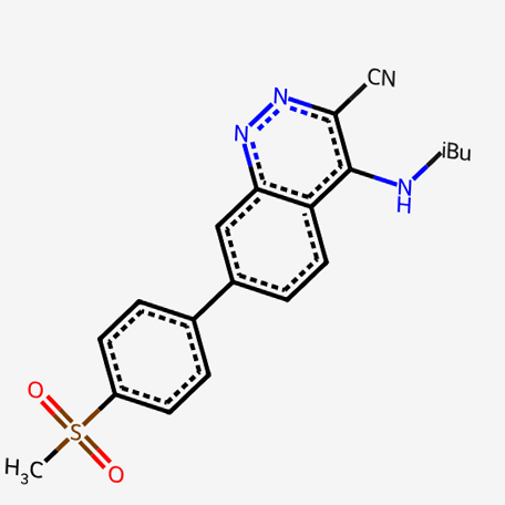 CCC(C)Nc1c(C#N)nnc2cc(-c3ccc(S(C)(=O)=O)cc3)ccc12